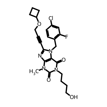 Cn1c(=O)n(CCCCO)c(=O)c2c1nc(C#CCOC1CCC1)n2Cc1ccc(Cl)cc1F